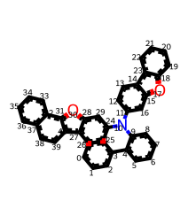 c1ccc(-c2ccccc2N(c2ccc3c(c2)oc2ccccc23)c2ccc3c(c2)oc2c4ccccc4ccc32)cc1